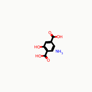 N.O=C(O)c1ccc(C(=O)O)c(O)c1